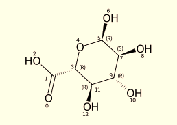 O=C(O)[C@@H]1O[C@@H](O)[C@@H](O)[C@H](O)[C@H]1O